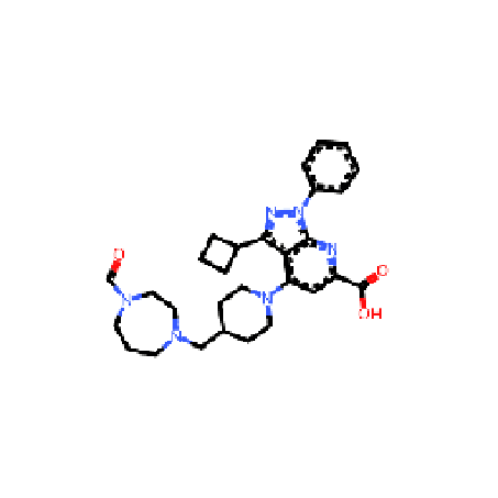 O=CN1CCCN(CC2CCN(c3cc(C(=O)O)nc4c3c(C3CCC3)nn4-c3ccccc3)CC2)CC1